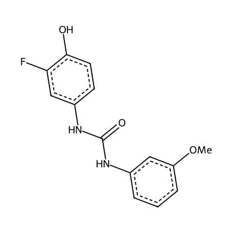 COc1cccc(NC(=O)Nc2ccc(O)c(F)c2)c1